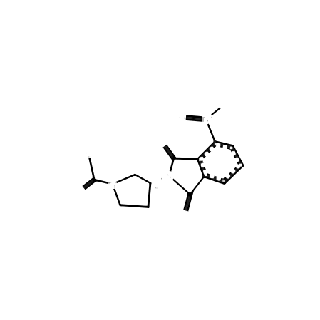 CC(=O)N1CC[C@@H](N2C(=O)c3cccc([N+](=O)[O-])c3C2=O)C1